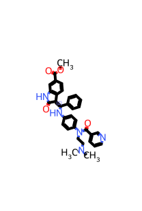 COC(=O)c1ccc2c(c1)NC(=O)/C2=C(\Nc1ccc(N(CCN(C)C)C(=O)c2cccnc2)cc1)c1ccccc1